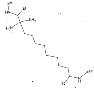 CCCNC(CC)CCCCCCCCC(N)(N)C(CC)NCCC